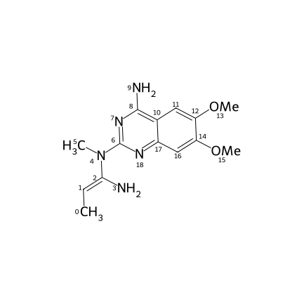 CC=C(N)N(C)c1nc(N)c2cc(OC)c(OC)cc2n1